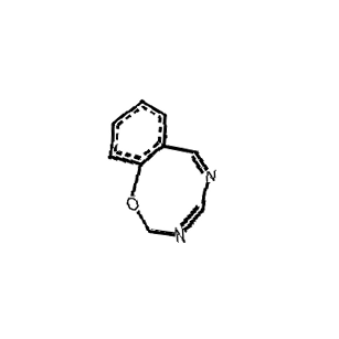 C1=NC=NCOc2ccccc21